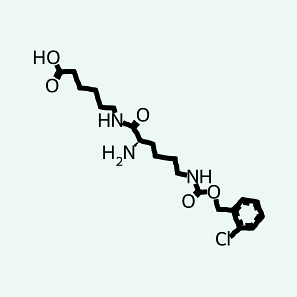 N[C@@H](CCCCNC(=O)OCc1ccccc1Cl)C(=O)NCCCCCC(=O)O